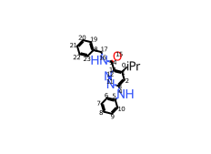 CC(C)c1cc(Nc2ccccc2)nnc1C(=O)NCc1ccccc1